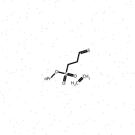 C=C.CCCOS(=O)(=O)CCC=S